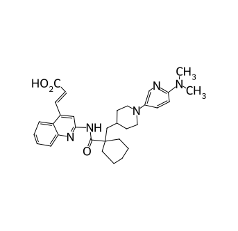 CN(C)c1ccc(N2CCC(CC3(C(=O)Nc4cc(/C=C/C(=O)O)c5ccccc5n4)CCCCC3)CC2)cn1